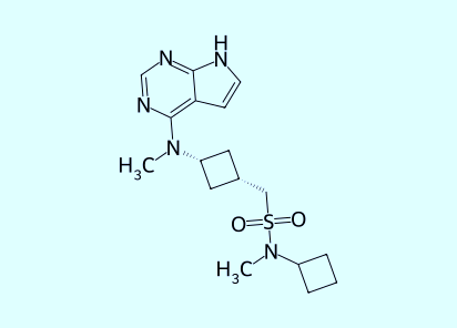 CN(C1CCC1)S(=O)(=O)C[C@H]1C[C@@H](N(C)c2ncnc3[nH]ccc23)C1